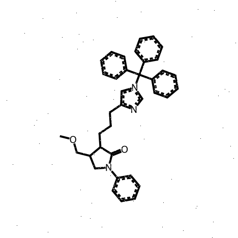 COCC1CN(c2ccccc2)C(=O)C1CCCc1cn(C(c2ccccc2)(c2ccccc2)c2ccccc2)cn1